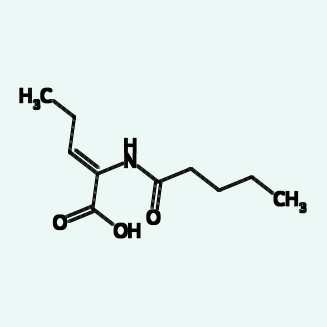 CCC=C(NC(=O)CCCC)C(=O)O